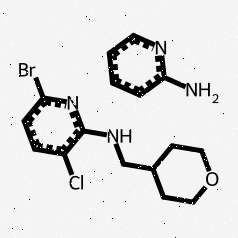 Clc1ccc(Br)nc1NCC1CCOCC1.Nc1ccccn1